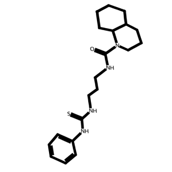 O=C(NCCCNC(=S)Nc1ccccc1)N1CCCC2CCCCC21